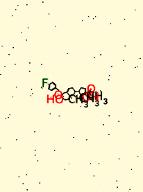 CC(=O)C1(O)CCC2C3CC=C4CC(O)(OCc5ccc(F)cc5)CCC4(C)C3CCC21C